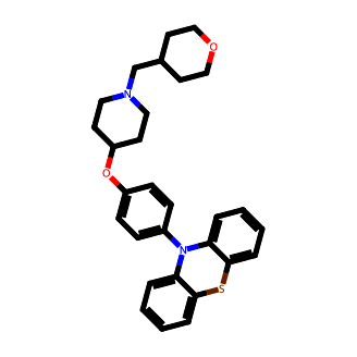 c1ccc2c(c1)Sc1ccccc1N2c1ccc(OC2CCN(CC3CCOCC3)CC2)cc1